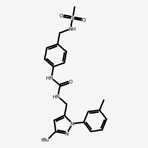 Cc1cccc(-n2nc(C(C)(C)C)cc2CNC(=O)Nc2ccc(CNS(C)(=O)=O)cc2)c1